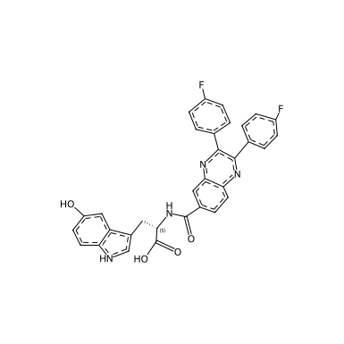 O=C(N[C@@H](Cc1c[nH]c2ccc(O)cc12)C(=O)O)c1ccc2nc(-c3ccc(F)cc3)c(-c3ccc(F)cc3)nc2c1